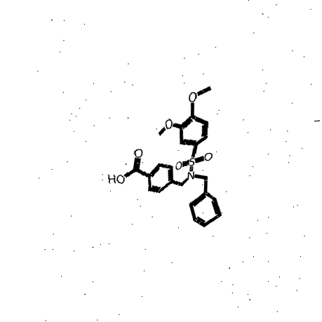 COc1ccc(S(=O)(=O)N(Cc2ccccc2)Cc2ccc(C(=O)O)cc2)cc1OC